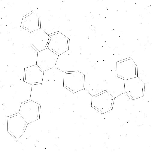 c1ccc(N(c2ccc(-c3cccc(-c4cccc5ccccc45)c3)cc2)c2cc(-c3ccc4ccccc4c3)ccc2-c2ccc3ccccc3c2)cc1